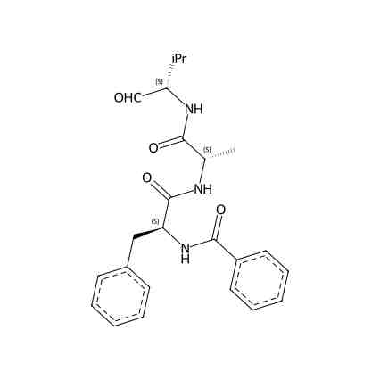 CC(C)[C@@H](C=O)NC(=O)[C@H](C)NC(=O)[C@H](Cc1ccccc1)NC(=O)c1ccccc1